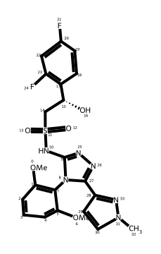 COc1cccc(OC)c1-n1c(NS(=O)(=O)C[C@@H](O)c2ccc(F)cc2F)nnc1-c1ccn(C)n1